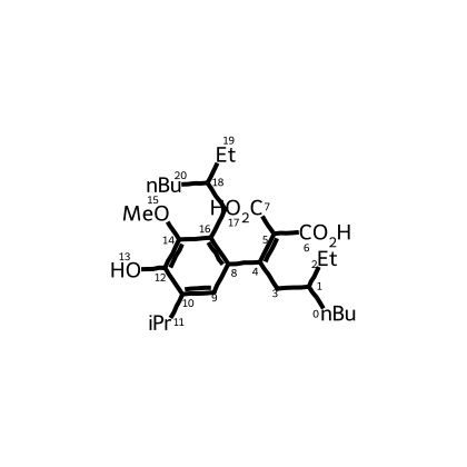 CCCCC(CC)CC(=C(C(=O)O)C(=O)O)c1cc(C(C)C)c(O)c(OC)c1CC(CC)CCCC